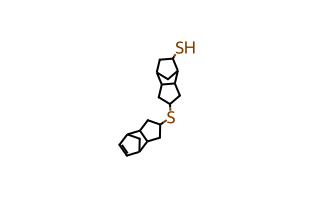 SC1CC2CC1C1CC(SC3CC4C5C=CC(C5)C4C3)CC21